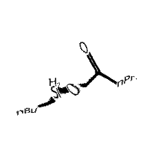 CC[CH]C(=O)O[SiH2]CCCC